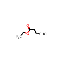 O=CCCC(=O)OCC(F)(F)F